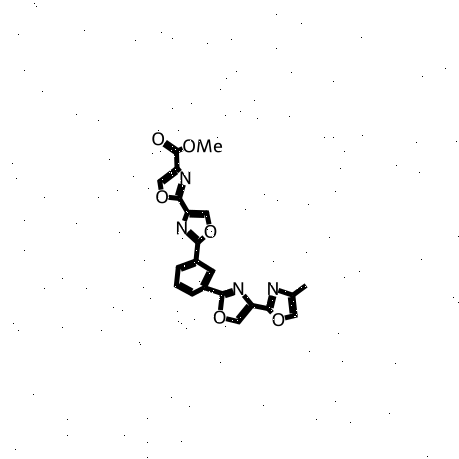 COC(=O)c1coc(-c2coc(-c3cccc(-c4nc(-c5nc(C)co5)co4)c3)n2)n1